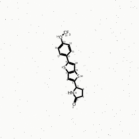 O=C1CCC(c2cc3sc(-c4ccc(OC(F)(F)F)cc4)cc3s2)N1